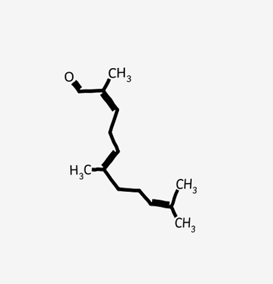 CC(C)=CCCC(C)=CCC=C(C)C=O